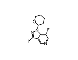 Fc1cncc2c(I)nn(C3CCCCO3)c12